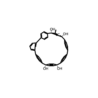 CC1C[C@]2(O)C=C[C@@]1(O)c1ccc(cc1)-c1cccc(c1)-c1ccc(cc1)[C@]1(O)C=C[C@@](O)(C=C1)c1ccc(cc1)-c1ccc2cc1